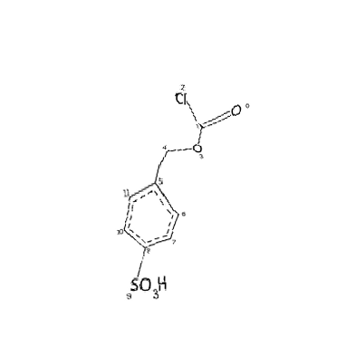 O=C(Cl)OCc1ccc(S(=O)(=O)O)cc1